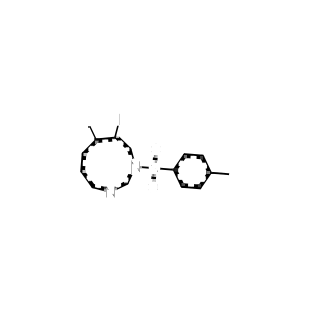 Cc1ccc(S(=O)(=O)n2cncccc(I)c(I)c2)cc1